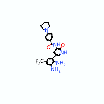 Nc1cc(C(F)(F)F)cc(-c2c[nH]c(=O)c(NC(=O)c3ccc(N4CCCCC4)cc3)c2)c1N